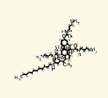 CCCCCCCCCCCCNC(=O)CC[C@@H](C)[C@H]1CC[C@H]2[C@@H]3[C@H](OC(=O)NCCCN)CC4CC(OC(=O)NCCCN)CC[C@]4(C)[C@H]3C[C@H](OC(=O)NCCCN)[C@]12C